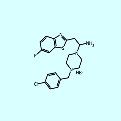 Br.NC(Cc1nc2ccc(F)cc2s1)N1CCN(Cc2ccc(Cl)cc2)CC1